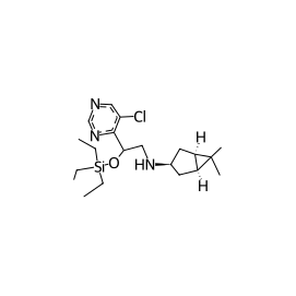 CC[Si](CC)(CC)OC(CN[C@H]1C[C@@H]2[C@H](C1)C2(C)C)c1ncncc1Cl